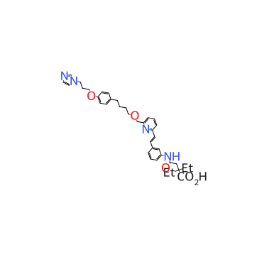 CCC(CC)(CC(=O)Nc1cccc(C=Cc2cccc(COCCCCc3ccc(OCCCn4ccnc4)cc3)n2)c1)C(=O)O